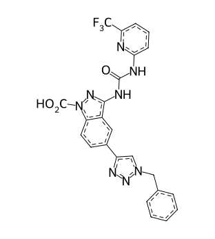 O=C(Nc1cccc(C(F)(F)F)n1)Nc1nn(C(=O)O)c2ccc(-c3cn(Cc4ccccc4)nn3)cc12